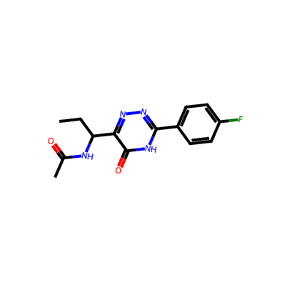 CCC(NC(C)=O)c1nnc(-c2ccc(F)cc2)[nH]c1=O